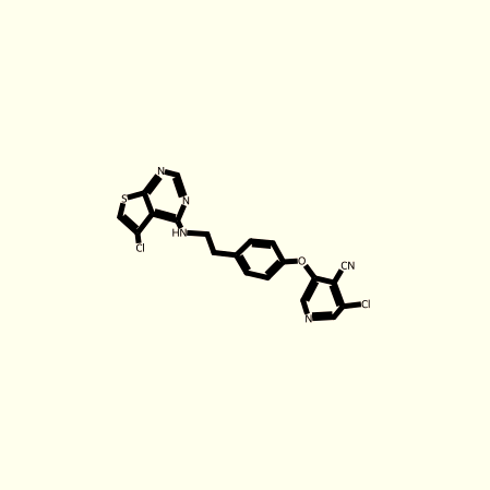 N#Cc1c(Cl)cncc1Oc1ccc(CCNc2ncnc3scc(Cl)c23)cc1